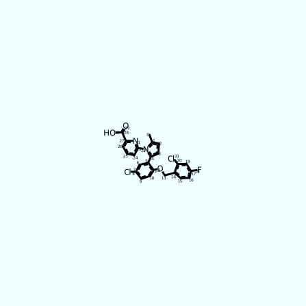 Cc1ccc(-c2cc(Cl)ccc2OCc2ccc(F)cc2Cl)n1-c1cccc(C(=O)O)n1